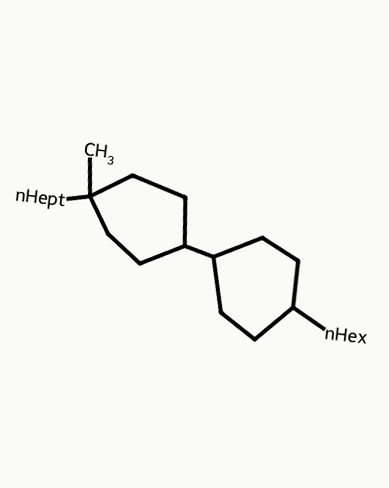 CCCCCCCC1(C)CCC(C2CCC(CCCCCC)CC2)CC1